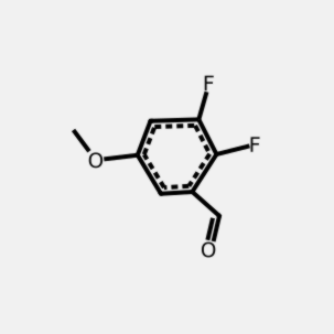 COc1cc(F)c(F)c(C=O)c1